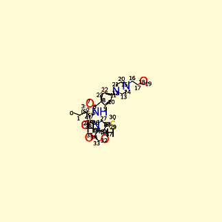 CC[C@H](C)[C@H](NC(=O)c1ccc(N2CCN(CCOC)CC2)cc1)C(=O)N1C[C@H](SC)[C@H]2OCC(=O)[C@H]21